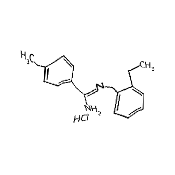 CCc1ccccc1N=C(N)c1ccc(C)cc1.Cl